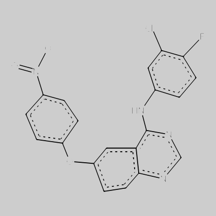 O=[N+]([O-])c1ccc(Oc2ccc3ncnc(Nc4ccc(F)c(Cl)c4)c3c2)cc1